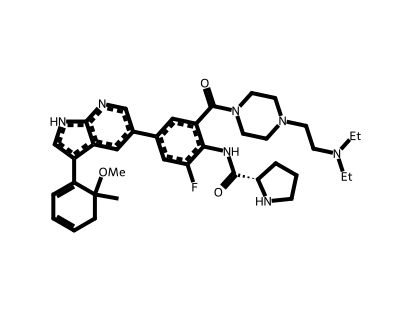 CCN(CC)CCN1CCN(C(=O)c2cc(-c3cnc4[nH]cc(C5=CC=CCC5(C)OC)c4c3)cc(F)c2NC(=O)[C@@H]2CCCN2)CC1